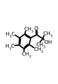 Cc1c(C)c(C)c(C(=O)C(C)(C)O)c(C)c1C